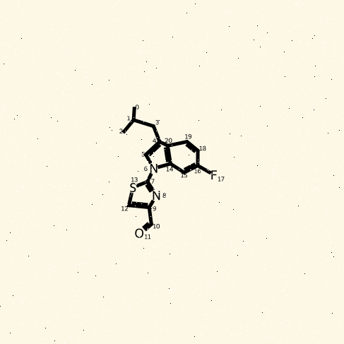 CC(C)Cc1cn(-c2nc(C=O)cs2)c2cc(F)ccc12